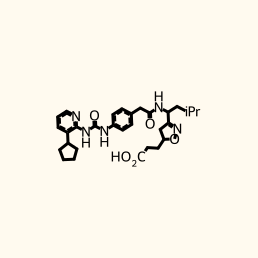 CC(C)CC(NC(=O)Cc1ccc(NC(=O)Nc2ncccc2C2CCCC2)cc1)C1=NOC(CCC(=O)O)C1